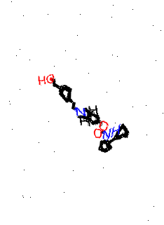 O=C(Nc1ccccc1-c1ccccc1)O[C@@H]1C[C@@H]2CN(CCc3ccc(CCO)cc3)C[C@@H]2C1